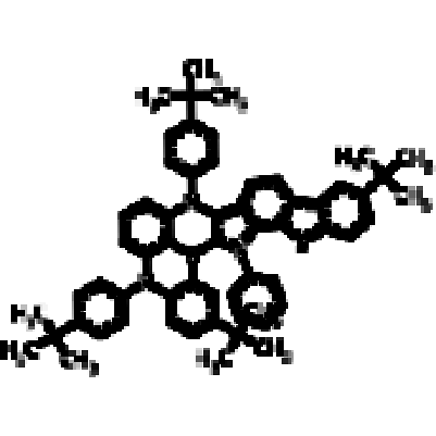 CC(C)(C)c1ccc(N2c3ccc(C(C)(C)C)cc3B3c4c2cccc4N(c2ccc(C(C)(C)C)cc2)c2c3n(-c3ccccc3)c3c2ccc2c4cc(C(C)(C)C)ccc4sc23)cc1